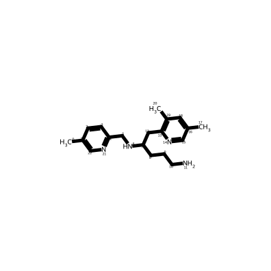 Cc1ccc(CNC(CCCN)Cc2ncc(C)cc2C)nc1